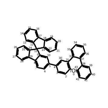 Oc1ccc(-c2ccc3c(c2)C2(c4ccccc4-c4ccccc42)c2ccccc2-3)cc1-c1ccccc1-c1ccccc1